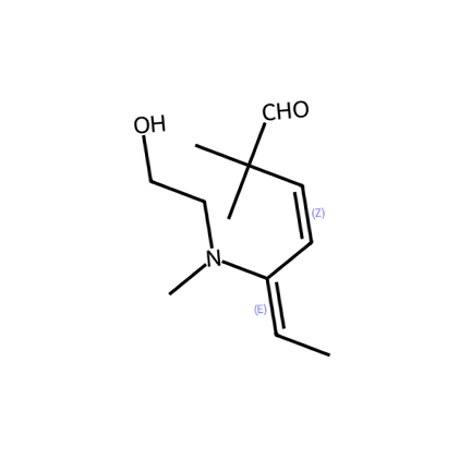 C/C=C(\C=C/C(C)(C)C=O)N(C)CCO